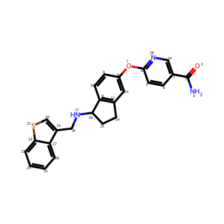 NC(=O)c1ccc(Oc2ccc3c(c2)CCC3NCc2csc3ccccc23)nc1